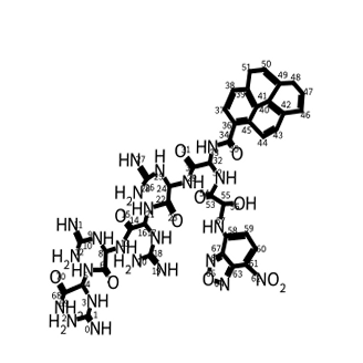 N=C(N)NC(NC(=O)C(NC(=N)N)NC(=O)C(NC(=N)N)NC(=O)C(NC(=N)N)NC(=O)C(NC(=O)c1ccc2c3c4c(ccc13)C=CCC4=CC2)NC(=O)C(O)Nc1ccc([N+](=O)[O-])c2nonc12)C(N)=O